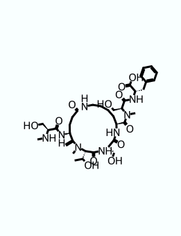 C=C1[C@@H](NC(=O)[C@H](CO)NC)CCC(=O)NCCCC[C@@H](C(=O)N(C)[C@@H](CO)C(=O)N[C@@H](Cc2ccccc2)C(=O)O)NC(=O)[C@H](CO)NC(=O)[C@H](C(C)O)N1C